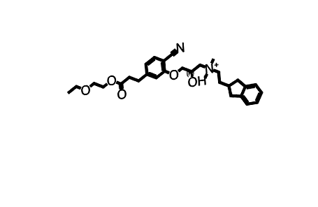 CCOCCOC(=O)CCc1ccc(C#N)c(OC[C@H](O)C[N+](C)(C)CCC2Cc3ccccc3C2)c1